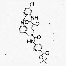 CC(C)(C)OC(=O)c1ccc(NC(=O)[C@@H](CCC(=O)C(=O)Nc2cc(Cl)ccc2C#N)Cc2ccccc2)cc1